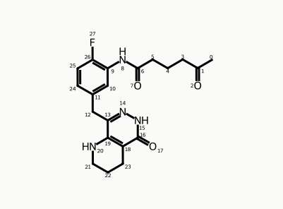 CC(=O)CCCC(=O)Nc1cc(Cc2n[nH]c(=O)c3c2NCCC3)ccc1F